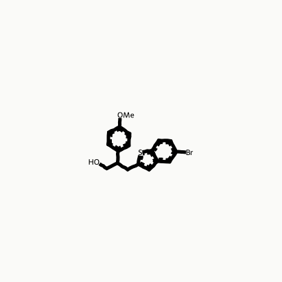 COc1ccc(C(CO)Cc2cc3cc(Br)ccc3s2)cc1